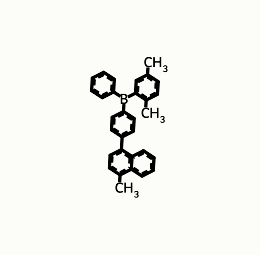 Cc1ccc(C)c(B(c2ccccc2)c2ccc(-c3ccc(C)c4ccccc34)cc2)c1